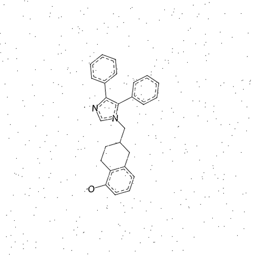 [O]c1cccc2c1CCC(Cn1cnc(-c3ccccc3)c1-c1ccccc1)C2